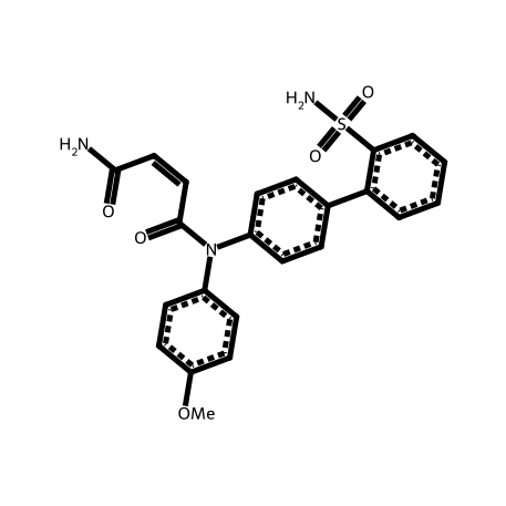 COc1ccc(N(C(=O)/C=C\C(N)=O)c2ccc(-c3ccccc3S(N)(=O)=O)cc2)cc1